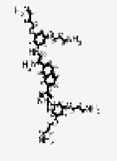 N=N/C(=C\Nc1cc(OCCCN)cc(OCCCN)c1)c1ccc2ccc(/C(N)=C/Nc3cc(OCCCN)cc(OCCCN)c3)cc2c1